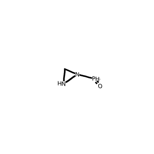 O=[PH]N1CN1